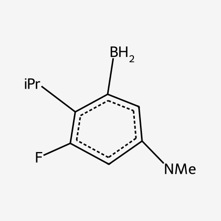 Bc1cc(NC)cc(F)c1C(C)C